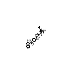 CN(c1cc(C2CC2)[nH]n1)c1ccnc(N(C)C2CCC(NC(=O)C3CCc4ccccc43)CC2)n1